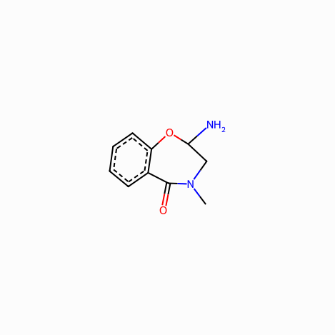 CN1CC(N)Oc2ccccc2C1=O